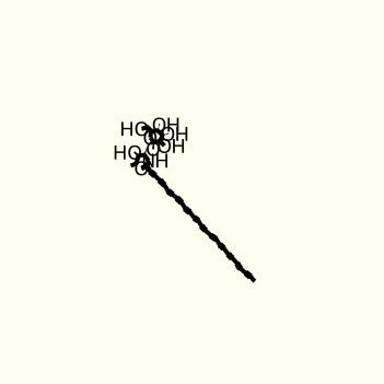 CC#CC#CC#CC#CC#CC#CC#CC#CC#CC#CC#CC#CC(=O)N[C@@H](CO[C@H]1OC(CO)[C@H](O)[C@H](O)C1O)[C@H](O)CC